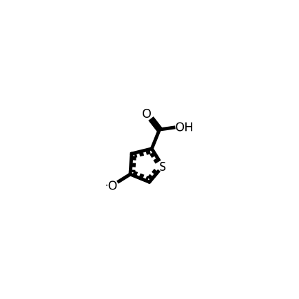 [O]c1csc(C(=O)O)c1